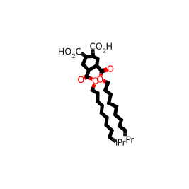 CC(C)CCCCCCCCCOC(=O)C1CC(C(=O)O)C(C(=O)O)CC1C(=O)OCCCCCCCCCC(C)C